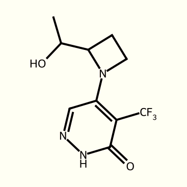 CC(O)C1CCN1c1cn[nH]c(=O)c1C(F)(F)F